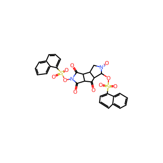 O=C1C2C(=O)N(OS(=O)(=O)c3cccc4ccccc34)C(=O)C2C2C[N+](=O)C(OS(=O)(=O)c3cccc4ccccc34)C12